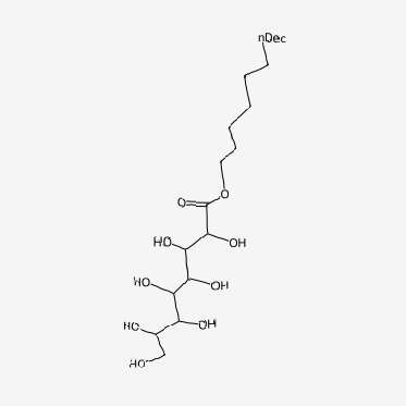 CCCCCCCCCCCCCCCCOC(=O)C(O)C(O)C(O)C(O)C(O)C(O)CO